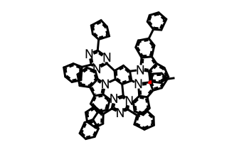 Cc1ccc2c(c1)c1ccccc1n2-c1c(-n2c3ccccc3c3cc(-c4ccccc4)ccc32)cc(-c2nc(-c3ccccc3)nc(-c3ccccc3)n2)c(-n2c3ccccc3c3cc(-c4ccccc4)ccc32)c1-c1nc(-c2ccccc2)nc(-c2ccccc2)n1